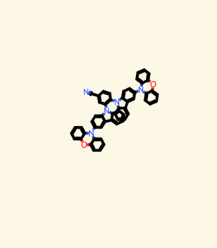 N#Cc1ccc(-n2c3ccccc3c3cc(N4c5ccccc5Oc5ccccc54)ccc32)c(-n2c3ccccc3c3cc(N4c5ccccc5Oc5ccccc54)ccc32)c1